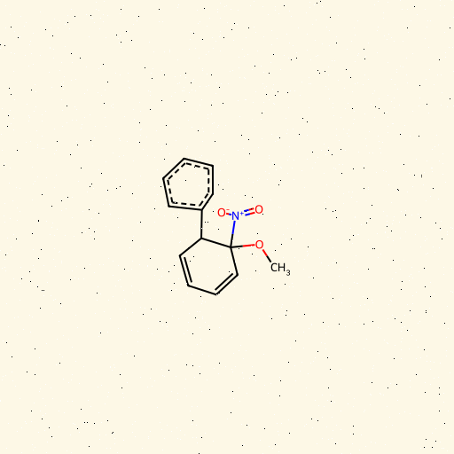 COC1([N+](=O)[O-])C=CC=CC1c1ccccc1